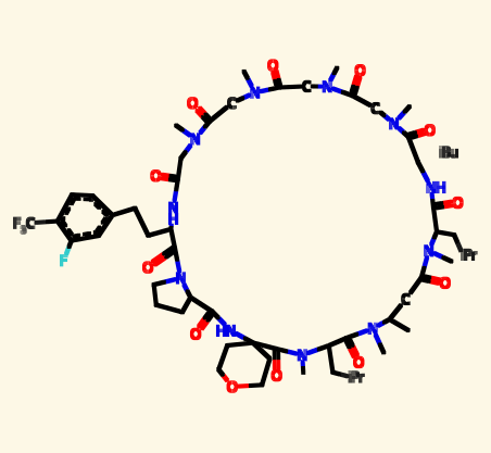 CC[C@H](C)C1NC(=O)C(CC(C)C)N(C)C(=O)CC(C)N(C)C(=O)C(CC(C)C)N(C)C(=O)C2(CCOCC2)NC(=O)C2CCCN2C(=O)C(CCc2ccc(C(F)(F)F)c(F)c2)NC(=O)CN(C)C(=O)CN(C)C(=O)CN(C)C(=O)CN(C)C1=O